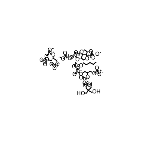 CCCCCON=O.O=[N+]([O-])OCC(CO[N+](=O)[O-])O[N+](=O)[O-].O=[N+]([O-])OC[C@H](O[N+](=O)[O-])[C@@H](CO[N+](=O)[O-])O[N+](=O)[O-].O=[N+]([O-])O[C@H]1CO[C@H]2[C@@H]1OC[C@H]2O[N+](=O)[O-].OCC(CO)(CO)CO